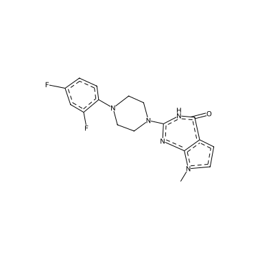 Cn1ccc2c(=O)[nH]c(N3CCN(c4ccc(F)cc4F)CC3)nc21